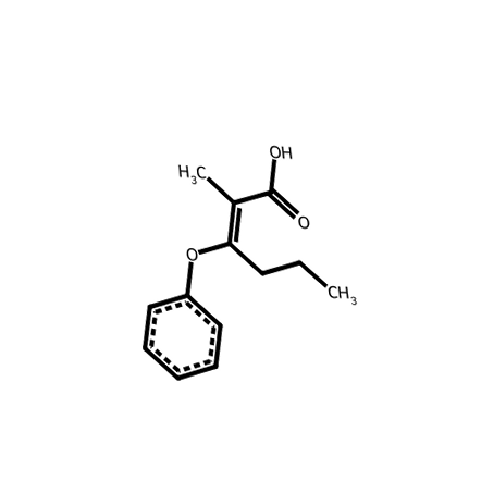 CCC/C(Oc1ccccc1)=C(/C)C(=O)O